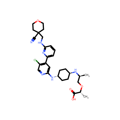 C[C@@H](CO[C@H](C)C(=O)O)N[C@H]1CC[C@H](Nc2cc(-c3cccc(NCC4(C#N)CCOCC4)n3)c(Cl)cn2)CC1